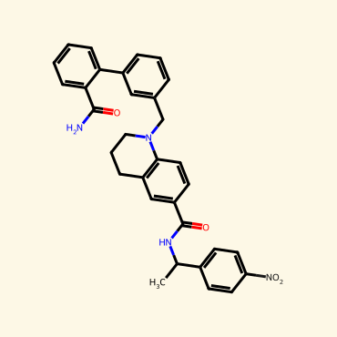 CC(NC(=O)c1ccc2c(c1)CCCN2Cc1cccc(-c2ccccc2C(N)=O)c1)c1ccc([N+](=O)[O-])cc1